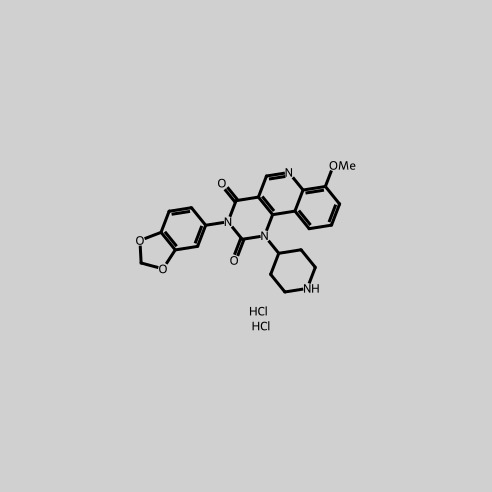 COc1cccc2c1ncc1c(=O)n(-c3ccc4c(c3)OCO4)c(=O)n(C3CCNCC3)c12.Cl.Cl